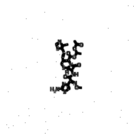 CON=C(C(=O)NC1C(=O)N2C(C(=O)OC(C)OC(C)=O)=C(C=Cc3scnc3C)CS[C@@H]12)c1csc(N)n1